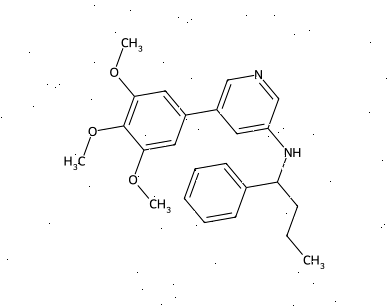 CCCC(Nc1cncc(-c2cc(OC)c(OC)c(OC)c2)c1)c1ccccc1